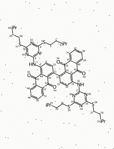 CC(C)CCSc1nc(Nc2ccc(-c3ccc(Nc4nc(SCCC(C)C)nc(SCCC(C)C)n4)c4c3C(=O)c3ccccc3C4=O)c3c2C(=O)c2ccccc2C3=O)nc(SCCC(C)C)n1